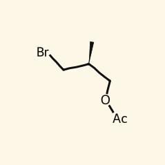 CC(=O)OC[C@H](C)CBr